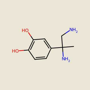 CC(N)(CN)c1ccc(O)c(O)c1